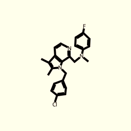 Cc1c(C)n(Cc2ccc(Cl)cc2)c2c(CN(C)c3ccc(F)cc3)nccc12